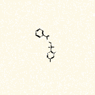 Cc1ccc(C(F)(F)CNC(=O)c2ccccc2)c(Cl)c1